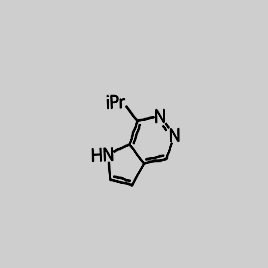 CC(C)c1nncc2cc[nH]c12